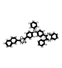 c1ccc(-c2nc3ccccc3nc2-c2ccc(N(c3ccccc3)c3ccc(-c4nnc(-c5ccc6ccccc6c5)o4)cc3)cc2)cc1